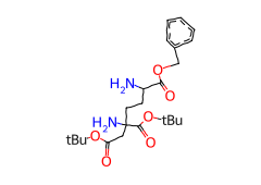 CC(C)(C)OC(=O)CC(N)(CCC(N)C(=O)OCc1ccccc1)C(=O)OC(C)(C)C